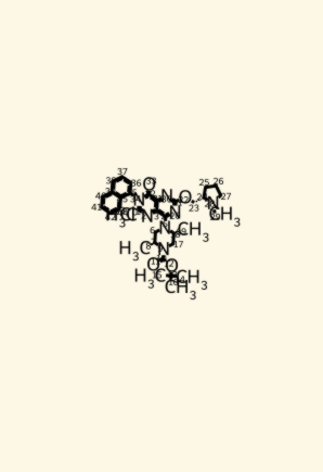 Cc1nc2c(N3C[C@H](C)N(C(=O)OC(C)(C)C)C[C@@H]3C)nc(OC[C@@H]3CCCN3C)nc2c(=O)n1-c1cccc2cccc(Cl)c12